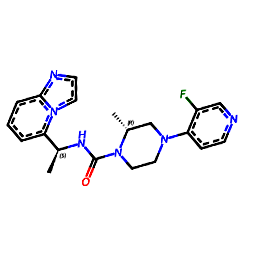 C[C@H](NC(=O)N1CCN(c2ccncc2F)C[C@H]1C)c1cccc2nccn12